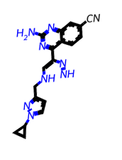 N#Cc1ccc2c(/C(=C/NCc3ccn(C4CC4)n3)N=N)nc(N)nc2c1